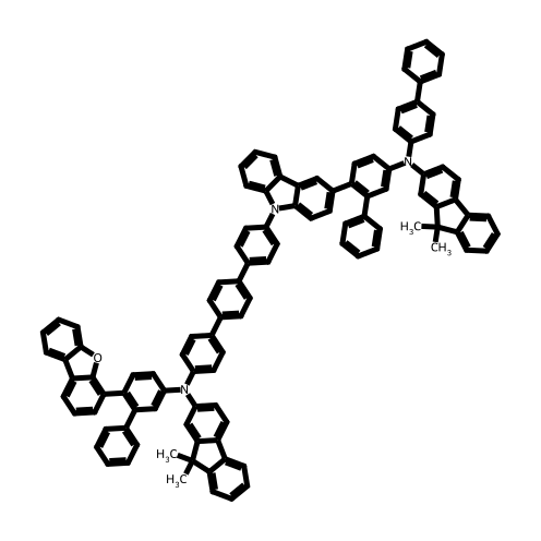 CC1(C)c2ccccc2-c2ccc(N(c3ccc(-c4ccccc4)cc3)c3ccc(-c4ccc5c(c4)c4ccccc4n5-c4ccc(-c5ccc(-c6ccc(N(c7ccc(-c8cccc9c8oc8ccccc89)c(-c8ccccc8)c7)c7ccc8c(c7)C(C)(C)c7ccccc7-8)cc6)cc5)cc4)c(-c4ccccc4)c3)cc21